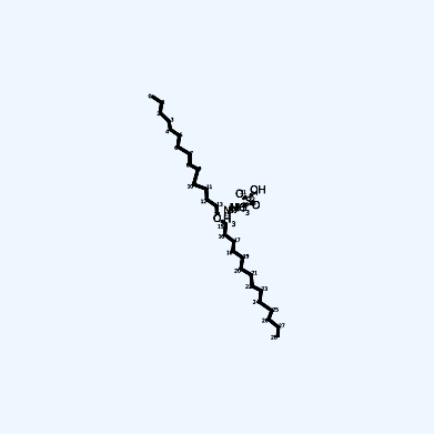 CCCCCCCCCCCCCCOCCCCCCCCCCCCCC.N.N.O=S(=O)(O)O